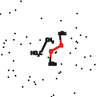 CC(=O)O.CCCCOOCCCC